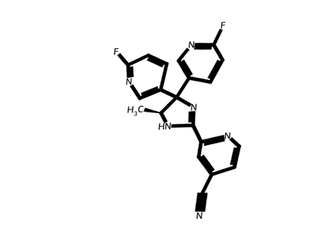 C[C@@H]1NC(c2cc(C#N)ccn2)=NC1(c1ccc(F)nc1)c1ccc(F)nc1